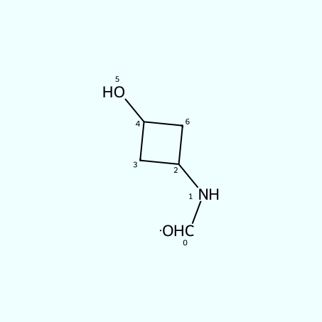 O=[C]NC1CC(O)C1